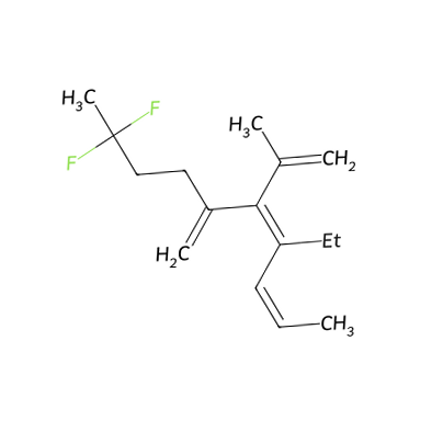 C=C(C)/C(C(=C)CCC(C)(F)F)=C(/C=C\C)CC